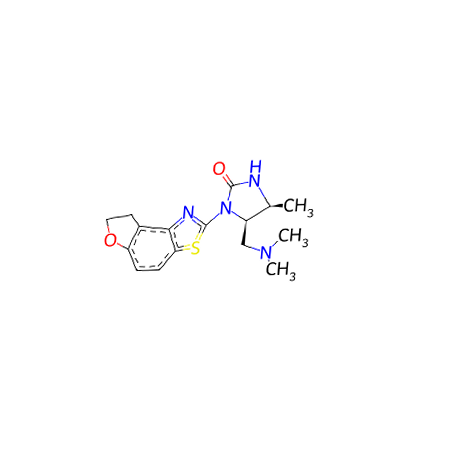 C[C@@H]1NC(=O)N(c2nc3c4c(ccc3s2)OCC4)[C@@H]1CN(C)C